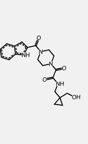 O=C(NCC1(CO)CC1)C(=O)N1CCN(C(=O)c2cc3ccccc3[nH]2)CC1